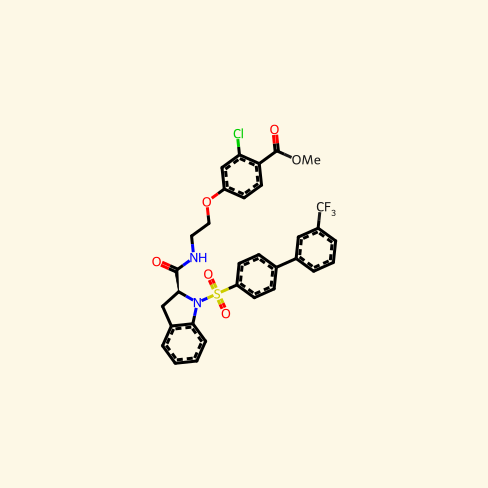 COC(=O)c1ccc(OCCNC(=O)[C@@H]2Cc3ccccc3N2S(=O)(=O)c2ccc(-c3cccc(C(F)(F)F)c3)cc2)cc1Cl